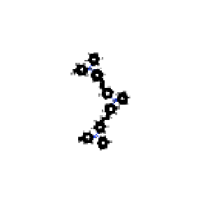 Cc1ccc(N(c2ccccc2)c2ccc(/C=C/c3ccc(N(c4ccccc4)c4ccc(/C=C/c5ccc(N(c6ccccc6)c6ccc(C)cc6)cc5)cc4)cc3)cc2)cc1